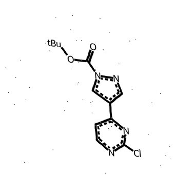 CC(C)(C)OC(=O)n1cc(-c2ccnc(Cl)n2)cn1